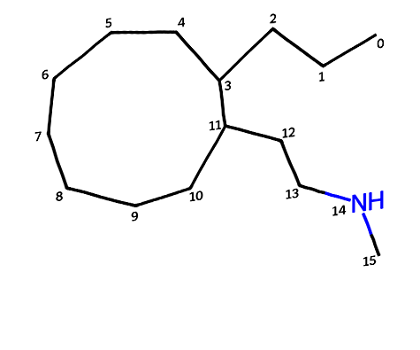 CCCC1CCCCCCCC1CCNC